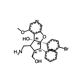 COc1cncc2c1[C@]1(O)C(CN)[C@H](CO)[C@@H](c3ccccc3)[C@]1(c1ccc(Br)cc1)O2